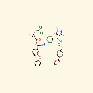 CC1(C)[C@H](C(=O)OC(C#N)c2cccc(Oc3ccccc3)c2)[C@@H]1C=C(Cl)Cl.Cc1nn(C)c(Oc2ccccc2)c1/C=N/OCc1ccc(C(=O)OC(C)(C)C)cc1